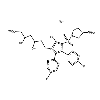 CC(=O)NC1CCN(S(=O)(=O)c2c(-c3ccc(F)cc3)c(-c3ccc(F)cc3)n(CCC(O)CC(O)CC(=O)[O-])c2C(C)C)C1.[Na+]